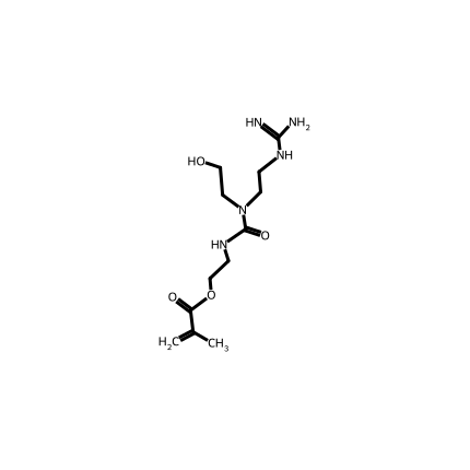 C=C(C)C(=O)OCCNC(=O)N(CCO)CCNC(=N)N